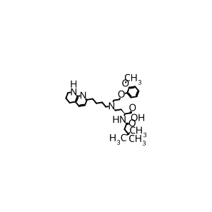 COc1ccccc1OCCN(CCCCc1ccc2c(n1)NCCC2)CC[C@H](NC(=O)CC(C)(C)C)C(=O)O